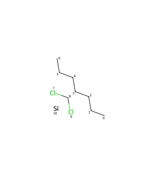 CCCCCCC.ClCCl.[Si]